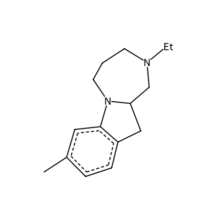 CCN1CCCN2c3cc(C)ccc3CC2C1